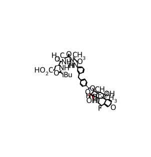 CCC(C)C(=O)N[C@@H](CCC(=O)O)C(=O)N[C@@H](C)C(=O)N[C@@H](C)C(=O)Nc1cccc(Cc2ccc([C@@H]3O[C@@H]4CC5[C@@H]6C[C@H](F)C7=CC(=O)C=C[C@]7(C)[C@@]6(F)[C@@H](O)C[C@]5(C)[C@]4(C(=O)CO)O3)cc2)c1